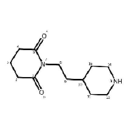 O=C1CCCC(=O)N1CCC1CCNCC1